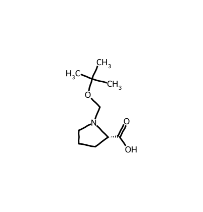 CC(C)(C)OCN1CCC[C@H]1C(=O)O